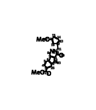 COC(=O)c1ccc2c3cnn(Cc4cccc(OC)c4)c(=O)c3n(C)c2c1